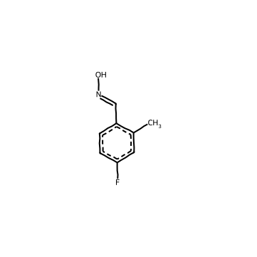 Cc1cc(F)ccc1C=NO